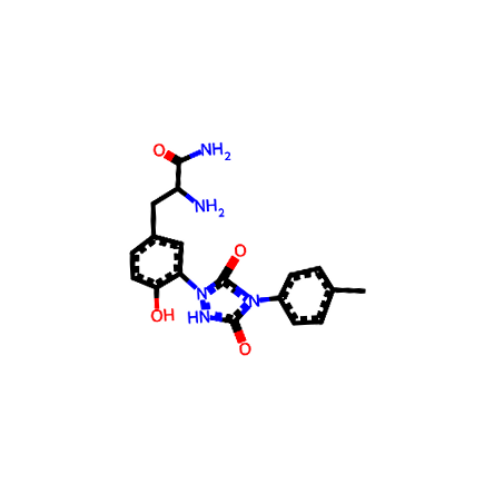 Cc1ccc(-n2c(=O)[nH]n(-c3cc(CC(N)C(N)=O)ccc3O)c2=O)cc1